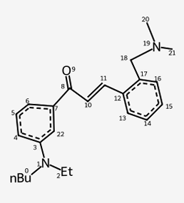 CCCCN(CC)c1cccc(C(=O)C=Cc2ccccc2CN(C)C)c1